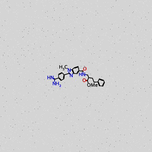 COC(=O)C(CCc1ccccc1)CNC(=O)c1ccc2c(c1)nc(-c1ccc(C(=N)N)cc1)n2C